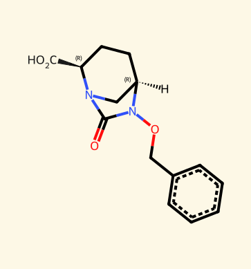 O=C(O)[C@H]1CC[C@@H]2CN1C(=O)N2OCc1ccccc1